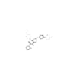 CCCN1CCC(n2c(=O)c(-c3ccccc3Cl)c(C)c3cnc(Nc4ccc(N5CCN(C)CC5)c(C)c4)nc32)CC1